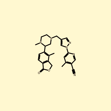 Cc1cc(-n2cc(CN3CCN(C)C(c4ccc5c(c4C)COC5=O)C3)cn2)ncc1C#N